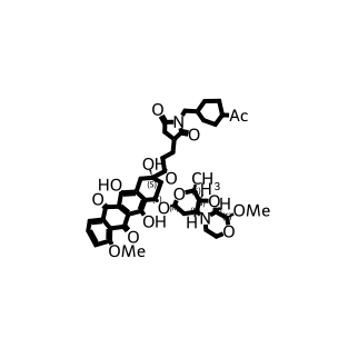 COc1cccc2c1C(=O)c1c(O)c3c(c(O)c1C2=O)C[C@@](O)(C(=O)CCC1CC(=O)N(CC2CCC(C(C)=O)CC2)C1=O)C[C@@H]3O[C@H]1C[C@H]2[C@H](O[C@@H]3[C@@H](OC)OCCN32)[C@H](C)O1